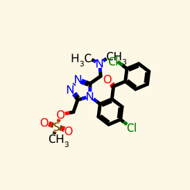 CN(C)Cc1nnc(COS(C)(=O)=O)n1-c1ccc(Cl)cc1C(=O)c1ccccc1Cl